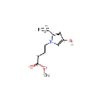 CC(C)(C)OC(=O)CCCn1cc(Br)cc1C(=O)O